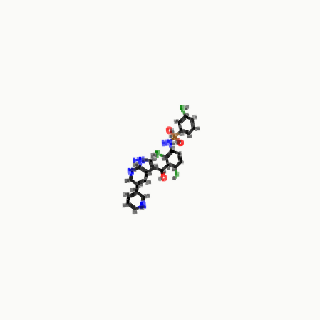 O=C(c1c(F)ccc(NS(=O)(=O)c2cccc(F)c2)c1F)c1c[nH]c2ncc(-c3cccnc3)cc12